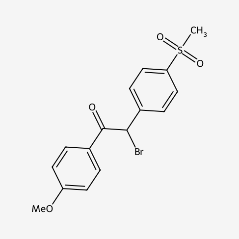 COc1ccc(C(=O)C(Br)c2ccc(S(C)(=O)=O)cc2)cc1